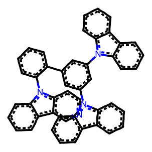 c1ccc(-n2c3ccccc3c3cnccc32)c(-c2cc(-n3c4ccccc4c4ccccc43)cc(-n3c4ccccc4c4ccccc43)c2)c1